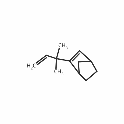 C=CC(C)(C)C1=CC2CCC1C2